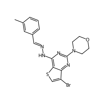 Cc1cccc(C=NNc2nc(N3CCOCC3)nc3c(Br)csc23)c1